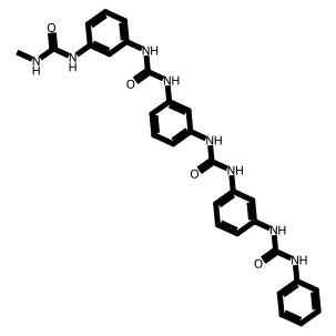 CNC(=O)Nc1cccc(NC(=O)Nc2cccc(NC(=O)Nc3cccc(NC(=O)Nc4ccccc4)c3)c2)c1